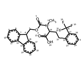 CN(C(=O)OCC1c2ccccc2-c2ccccc21)C(CCc1ccccc1C(F)(F)F)C(=O)O